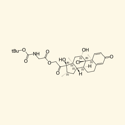 C[C@H]1C[C@H]2[C@@H]3CCC4=CC(=O)C=C[C@]4(C)[C@@]3(Cl)[C@@H](O)C[C@]2(C)[C@@]1(O)C(=O)COC(=O)CNC(=O)OC(C)(C)C